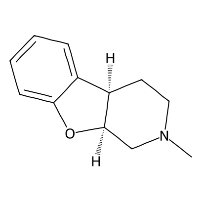 CN1CC[C@@H]2c3ccccc3O[C@@H]2C1